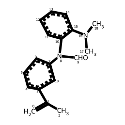 C=C(C)c1cccc(N(C=O)c2ccccc2N(C)C)c1